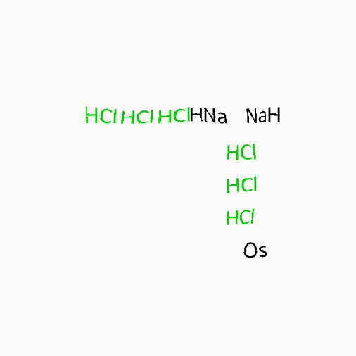 Cl.Cl.Cl.Cl.Cl.Cl.[NaH].[NaH].[Os]